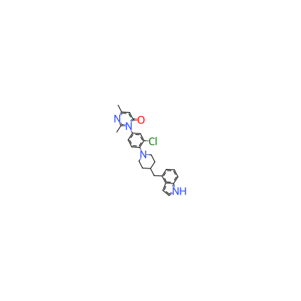 Cc1cc(=O)n(-c2ccc(N3CCC(Cc4cccc5[nH]ccc45)CC3)c(Cl)c2)c(C)n1